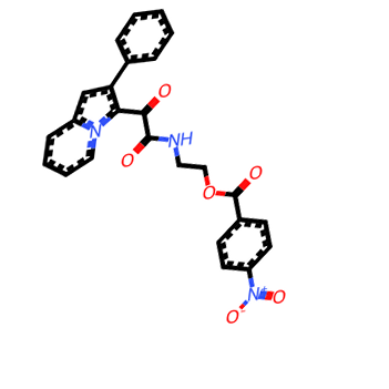 O=C(NCCOC(=O)c1ccc([N+](=O)[O-])cc1)C(=O)c1c(-c2ccccc2)cc2ccccn12